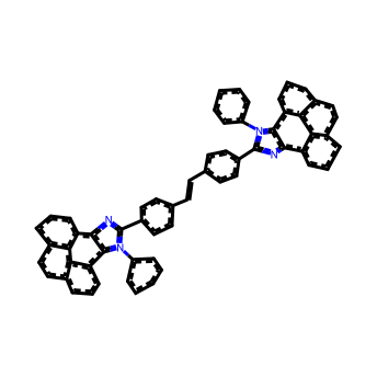 C(=C\c1ccc(-c2nc3c4cccc5ccc6cccc(c6c54)c3n2-c2ccccc2)cc1)/c1ccc(-c2nc3c4cccc5ccc6cccc(c6c54)c3n2-c2ccccc2)cc1